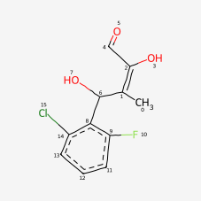 C/C(=C(\O)C=O)C(O)c1c(F)cccc1Cl